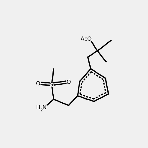 CC(=O)OC(C)(C)Cc1cccc(CC(N)S(C)(=O)=O)c1